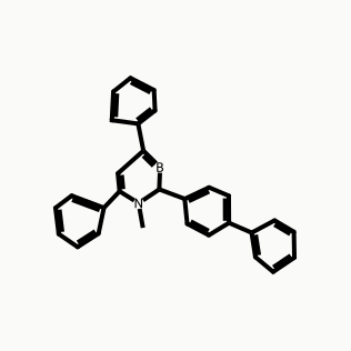 CN1C(c2ccccc2)=CC(c2ccccc2)=BC1c1ccc(-c2ccccc2)cc1